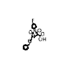 O=C(O)c1cn(CCOCc2ccccc2)c(=O)n(-c2ccc(F)cc2)c1=O